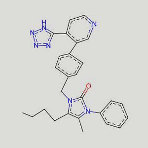 CCCCc1c(C)n(-c2ccccc2)c(=O)n1Cc1ccc(-c2cnccc2-c2nnn[nH]2)cc1